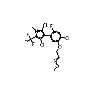 CON=CCOc1cc(-c2c(Cl)c(C(F)(F)F)n(C)c2Cl)c(F)cc1Cl